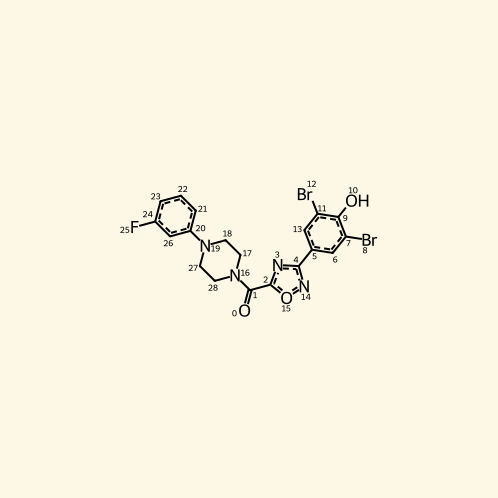 O=C(c1nc(-c2cc(Br)c(O)c(Br)c2)no1)N1CCN(c2cccc(F)c2)CC1